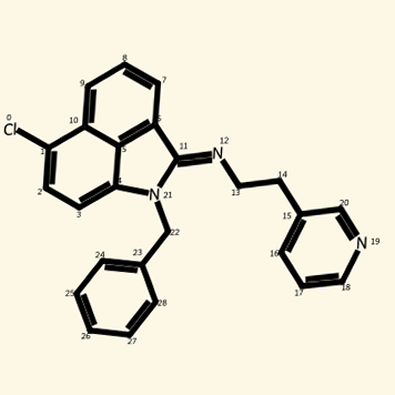 Clc1ccc2c3c(cccc13)C(=NCCc1cccnc1)N2Cc1ccccc1